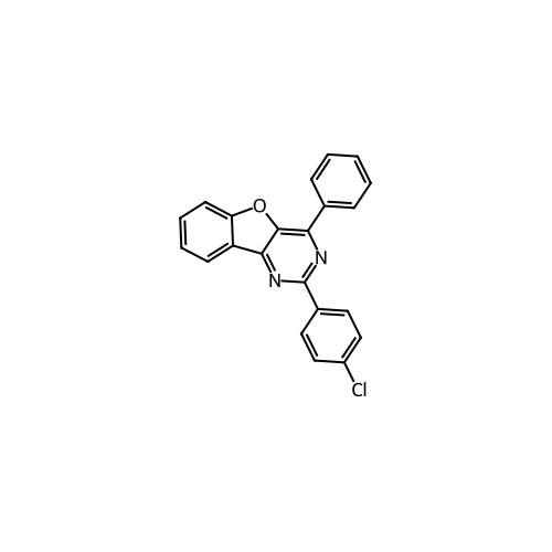 Clc1ccc(-c2nc(-c3ccccc3)c3oc4ccccc4c3n2)cc1